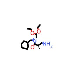 CCOC(CN(CC1CCCCC1)C(=O)[C@H](C)CN)OCC